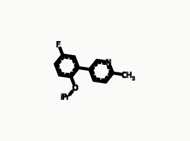 Cc1ccc(-c2cc(F)ccc2OC(C)C)cn1